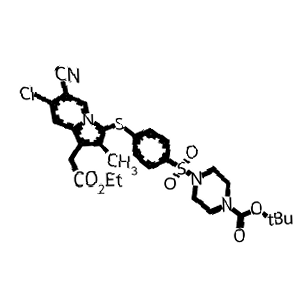 CCOC(=O)Cc1c(C)c(Sc2ccc(S(=O)(=O)N3CCN(C(=O)OC(C)(C)C)CC3)cc2)n2cc(C#N)c(Cl)cc12